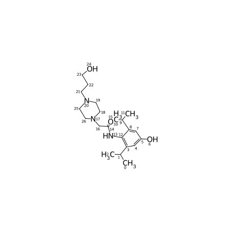 CC(C)c1cc(O)cc(C(C)C)c1NC(=O)CN1CCN(CCCO)CC1